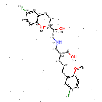 COc1ccc(F)cc1CCCC(CO)CNCC(O)[C@@H]1CCc2cc(F)ccc2O1